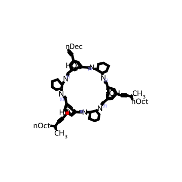 CCCCCCCCCCC#Cc1cc2c(O)c(c1)/C=N/C1CCCCC1/N=C/c1cc(C#CC(C)CCCCCCCC)cc(c1O)/C=N/C1CCCCC1/N=C/c1cc(C#CC(C)CCCCCCCC)cc(c1O)/C=N/C1CCCCC1/N=C/2